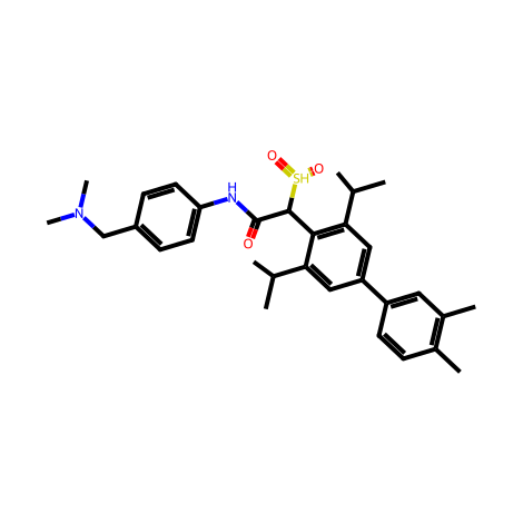 Cc1ccc(-c2cc(C(C)C)c(C(C(=O)Nc3ccc(CN(C)C)cc3)[SH](=O)=O)c(C(C)C)c2)cc1C